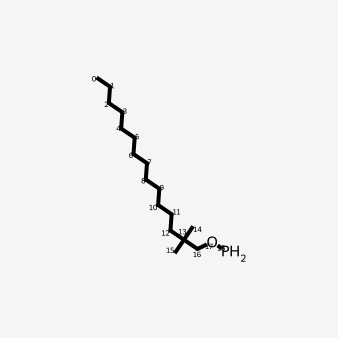 CCCCCCCCCCCCCC(C)(C)COP